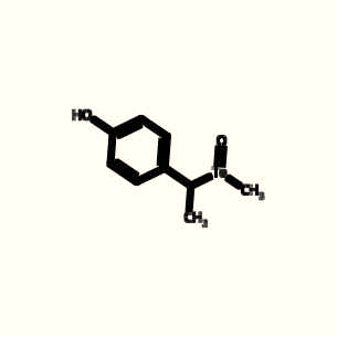 CC(c1ccc(O)cc1)[Te](C)=O